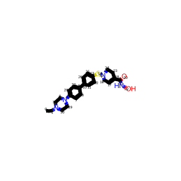 CCN1CCN(c2ccc(-c3ccc(SN4CC=C(C(=O)NO)CC4)cc3)cc2)CC1